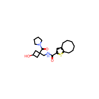 O=C(NCC1(C(=O)N2CCCC2)CC(O)C1)c1cc2c(s1)CCCCCC2